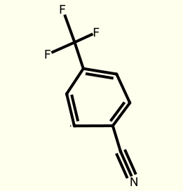 N#Cc1[c]cc(C(F)(F)F)cc1